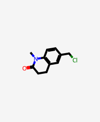 CN1C(=O)CCc2cc(CCl)ccc21